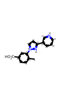 Cc1ccc(C(=O)O)cc1-n1ccc(-c2cccnc2)n1